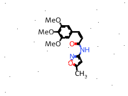 COc1cc(/C=C\C(=O)Nc2cc(C)on2)cc(OC)c1OC